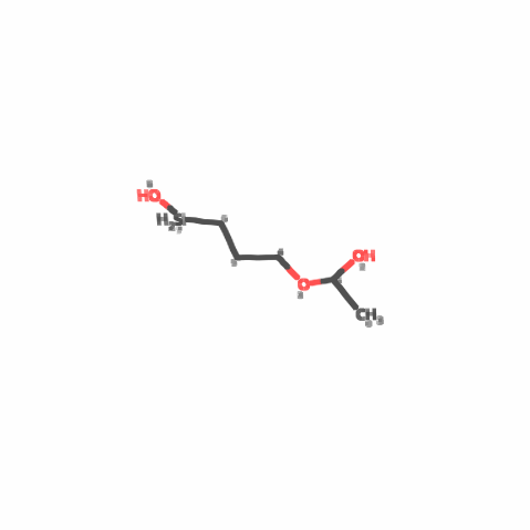 CC(O)OCCC[SiH2]O